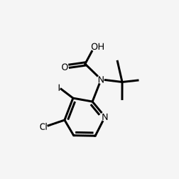 CC(C)(C)N(C(=O)O)c1nccc(Cl)c1I